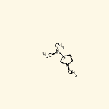 [CH2]N1CC[C@H](N(C)C)C1